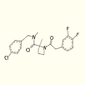 CN(Cc1ccc(Cl)cc1)C(=O)C1(C)CCN1C(=O)Cc1ccc(F)c(F)c1